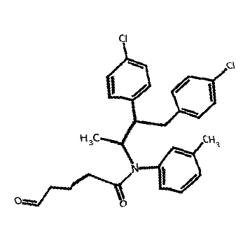 Cc1cccc(N(C(=O)CCCC=O)C(C)C(Cc2ccc(Cl)cc2)c2ccc(Cl)cc2)c1